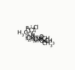 CC(c1ccc(Cl)cc1F)c1cccc2c1nc1n2CCN(C(=O)OC(C)(C)C)C1